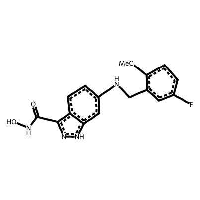 COc1ccc(F)cc1CNc1ccc2c(C(=O)NO)n[nH]c2c1